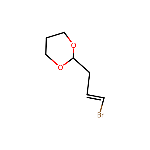 BrC=CCC1OCCCO1